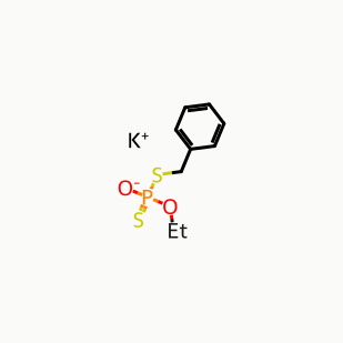 CCOP([O-])(=S)SCc1ccccc1.[K+]